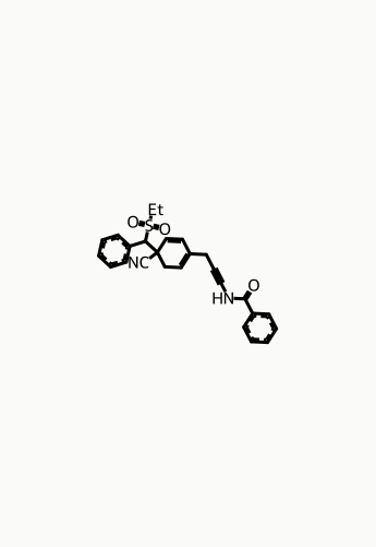 CCS(=O)(=O)C(c1ccccc1)C1(C#N)C=CC(CC#CNC(=O)c2ccccc2)=CC1